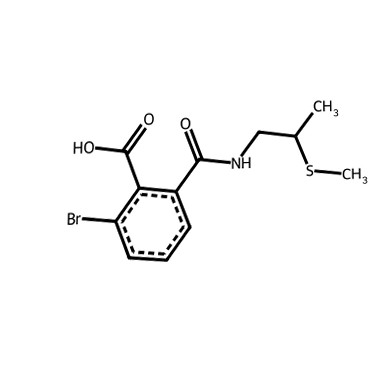 CSC(C)CNC(=O)c1cccc(Br)c1C(=O)O